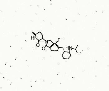 C=C1CCC(N2Cc3c(ccc(C[C@H]4CCCC[C@@H]4NC(C)C)c3F)C2=O)C(=O)N1